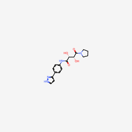 O=C(Nc1ccc(-c2cc[nH]n2)cc1)[C@H](O)[C@@H](O)C(=O)N1CCCC1